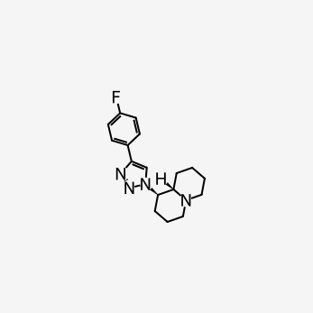 Fc1ccc(-c2cn([C@@H]3CCCN4CCCC[C@@H]34)nn2)cc1